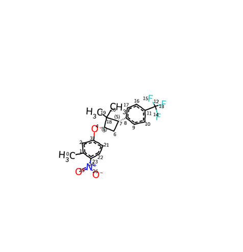 Cc1cc(O[C@H]2C[C@@H](c3ccc(C(F)(F)F)cc3)C2(C)C)ccc1[N+](=O)[O-]